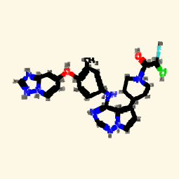 Cc1cc(Nc2ncnn3ccc(C4CCN(C(=O)[C@@H](F)Cl)CC4)c23)ccc1Oc1ccn2ncnc2c1